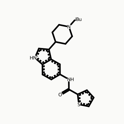 CCC(C)N1CCC(c2c[nH]c3ccc(NC(=O)c4cccs4)cc23)CC1